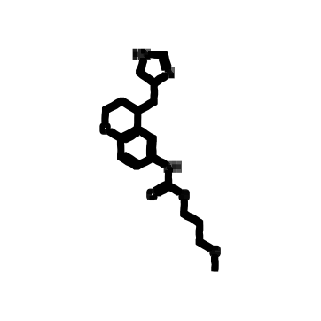 COCCCOC(=O)Nc1ccc2c(c1)C(CC1CNC=N1)CCO2